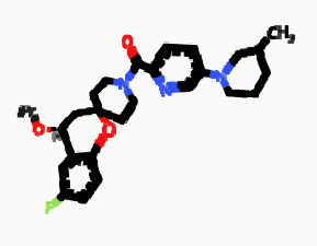 CC1CCCN(c2ccc(C(=O)N3CCC4(CC3)C[C@@H](OC(C)C)c3cc(F)ccc3O4)nc2)C1